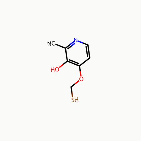 N#Cc1nccc(OCS)c1O